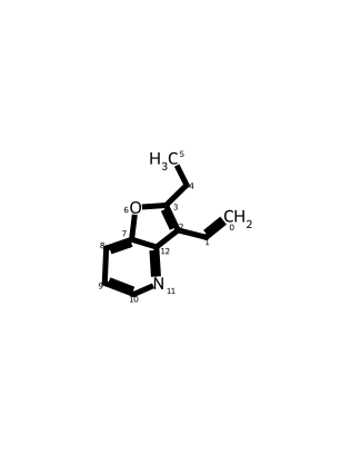 C=Cc1c(CC)oc2cccnc12